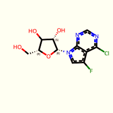 OC[C@H]1O[C@@H](n2cc(F)c3c(Cl)ncnc32)[C@@H](O)C1O